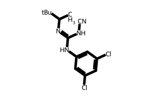 CC(/N=C(\NC#N)Nc1cc(Cl)cc(Cl)c1)C(C)(C)C